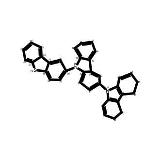 C1=Cc2c(c3c(n2-c2ccc4c(c2)c2ccccc2n4-c2ccc4sc5ccccc5c4c2)C=CCC3)CC1